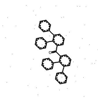 O=C(c1cccc(-c2ccccc2)c1-c1ccccc1)c1cccc(-c2ccccc2)c1-c1ccccc1